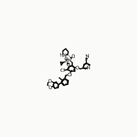 Cc1c(COc2cc(OCc3cncc(C#N)c3)c(CN(C(=O)[C@@H]3CCCCN3)S(=O)(=O)C3CC3)cc2Cl)cccc1-c1ccc2c(c1)OCCO2